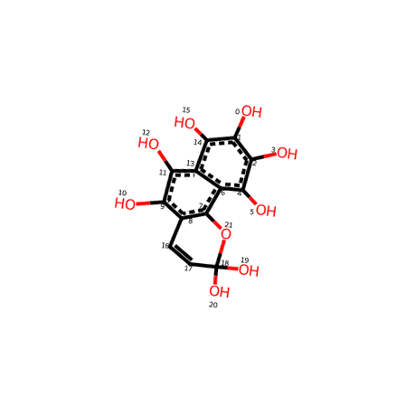 Oc1c(O)c(O)c2c3c(c(O)c(O)c2c1O)C=CC(O)(O)O3